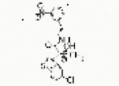 CP(=O)(O)C(C(=O)NC=Cc1cccc([N+](=O)[O-])c1)c1csc2ccc(Cl)cc12